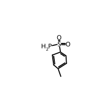 Cc1ccc(S(=O)(=O)P)cc1